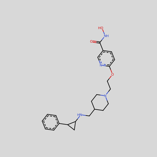 O=C(NO)c1ccc(OCCN2CCC(CNC3CC3c3ccccc3)CC2)nc1